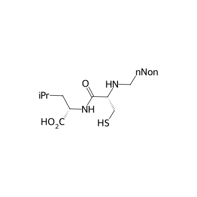 CCCCCCCCCCN[C@H](CS)C(=O)N[C@@H](CC(C)C)C(=O)O